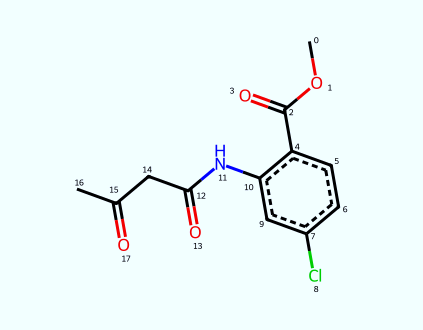 COC(=O)c1ccc(Cl)cc1NC(=O)CC(C)=O